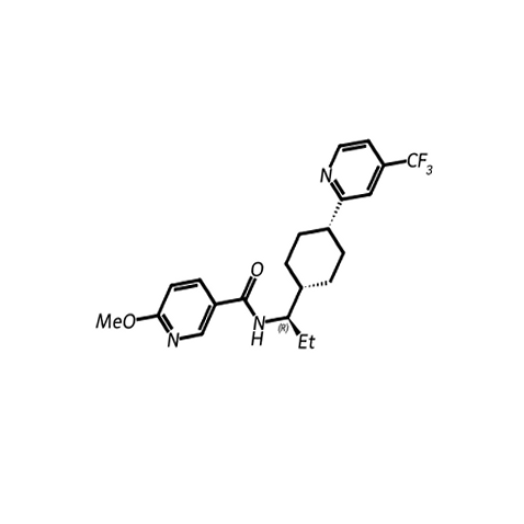 CC[C@@H](NC(=O)c1ccc(OC)nc1)[C@H]1CC[C@@H](c2cc(C(F)(F)F)ccn2)CC1